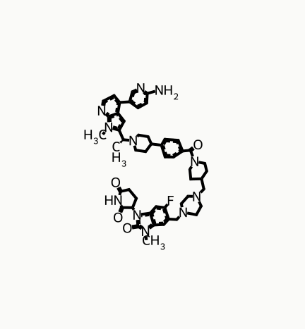 C[C@@H](c1cc2c(-c3ccc(N)nc3)ccnc2n1C)N1CCC(c2ccc(C(=O)N3CCC(CN4CCN(Cc5cc6c(cc5F)n(C5CCC(=O)NC5=O)c(=O)n6C)CC4)CC3)cc2)CC1